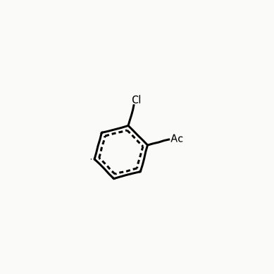 CC(=O)c1cc[c]cc1Cl